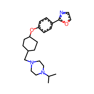 CC(C)N1CCN(CC2CCC(Oc3ccc(-c4ncco4)cc3)CC2)CC1